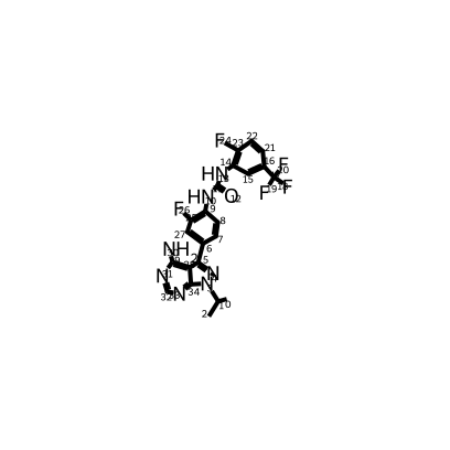 CC(C)n1nc(-c2ccc(NC(=O)Nc3cc(C(F)(F)F)ccc3F)c(F)c2)c2c(N)ncnc21